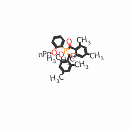 CCCOc1ccccc1P(=O)(C(=O)c1c(C)cc(C)cc1C)C(=O)c1c(C)cc(C)cc1C